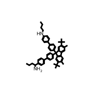 CCCCNc1ccc(-c2ccc(C3(c4ccc(-c5ccc(C(N)CCC)cc5)cc4)c4cc(C(C)(C)C)c(C)cc4-c4cc(C)c(C(C)(C)C)cc43)cc2)cc1